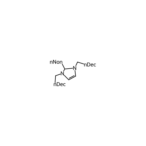 CCCCCCCCCCCN1C=CN(CCCCCCCCCCC)C1CCCCCCCCC